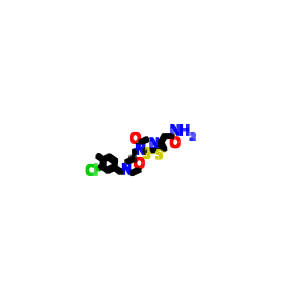 CC(=O)N(C[C@@H]1CN(Cc2ccc(C)c(Cl)c2)CCO1)Sc1nc(CC(N)=O)cs1